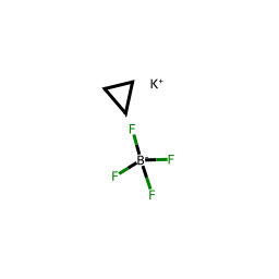 F[B-](F)(F)F.[CH]1CC1.[K+]